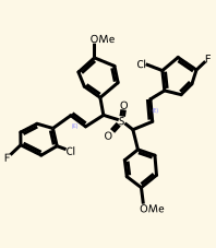 COc1ccc(C(/C=C/c2ccc(F)cc2Cl)S(=O)(=O)C(/C=C/c2ccc(F)cc2Cl)c2ccc(OC)cc2)cc1